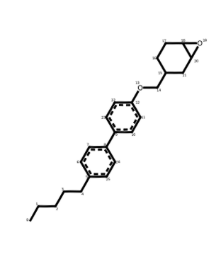 CCCCCc1ccc(-c2ccc(OCC3CCC4OC4C3)cc2)cc1